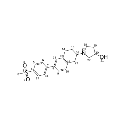 CS(=O)(=O)c1ccc(-c2ccc3c(c2)CCC(N2CCC(O)C2)C3)cc1